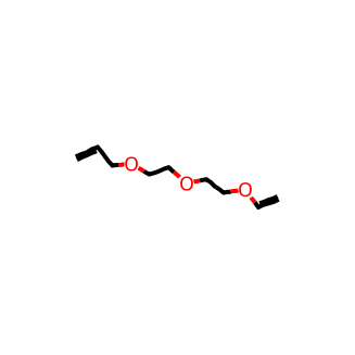 C=CCOCCOCCOC=C